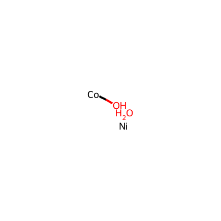 O.[Ni].[OH][Co]